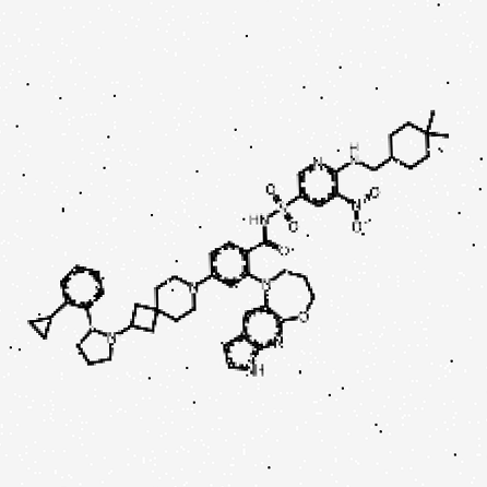 CC1(C)CCC(CNc2ncc(S(=O)(=O)NC(=O)c3ccc(N4CCC5(CC4)CC(N4CCC[C@H]4c4ccccc4C4CC4)C5)cc3N3CCCOc4nc5[nH]ccc5cc43)cc2[N+](=O)[O-])CC1